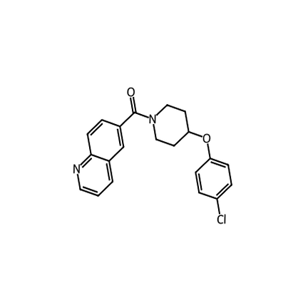 O=C(c1ccc2ncccc2c1)N1CCC(Oc2ccc(Cl)cc2)CC1